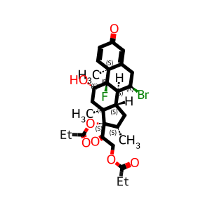 CCC(=O)OCC(=O)[C@]1(OC(=O)CC)[C@@H](C)C[C@H]2[C@@H]3[C@H](Br)CC4=CC(=O)C=C[C@]4(C)[C@@]3(F)[C@@H](O)C[C@@]21C